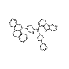 c1ccc(-c2ccc(N(c3ccc(-c4cc5ccccc5c5ccc6ccccc6c45)cc3)c3cccc4c3oc3ccncc34)cc2)cc1